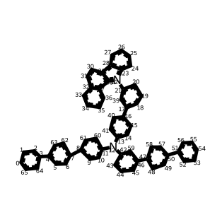 c1ccc(-c2ccc(-c3ccc(N(c4ccc(-c5cccc(-n6c7ccccc7c7ccc8ccccc8c76)c5)cc4)c4cccc(-c5ccc(-c6ccccc6)cc5)c4)cc3)cc2)cc1